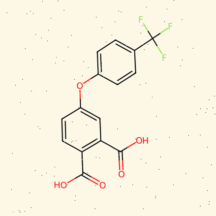 O=C(O)c1ccc(Oc2ccc(C(F)(F)F)cc2)cc1C(=O)O